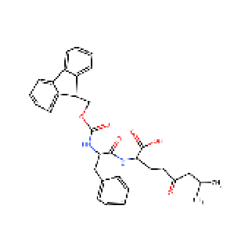 CC(C)CC(=O)CCC(NC(=O)C(Cc1ccccc1)NC(=O)OCC1c2ccccc2-c2ccccc21)C(=O)O